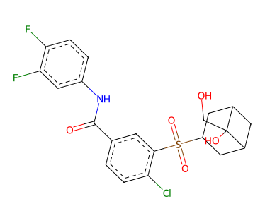 O=C(Nc1ccc(F)c(F)c1)c1ccc(Cl)c(S(=O)(=O)C2CC3CC(C2)C3(O)CO)c1